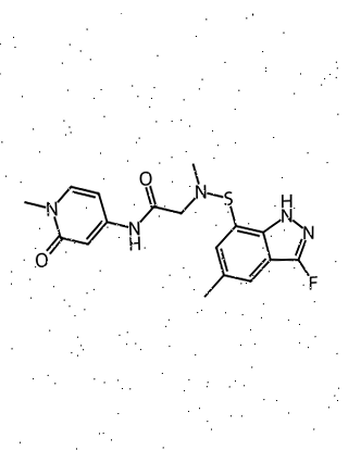 Cc1cc(SN(C)CC(=O)Nc2ccn(C)c(=O)c2)c2[nH]nc(F)c2c1